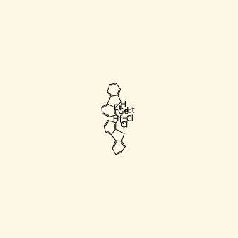 C[CH2][GeH]([CH2]C)[Hf]([Cl])([Cl])([c]1cccc2c1Cc1ccccc1-2)[c]1cccc2c1Cc1ccccc1-2